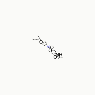 CCCCC(CC)COc1ccc(/C=C/C(=O)OC2CCC(NC(=O)C(C)(C)CC)CC2)cc1